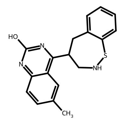 Cc1ccc2nc(O)nc(C3CNSc4ccccc4C3)c2c1